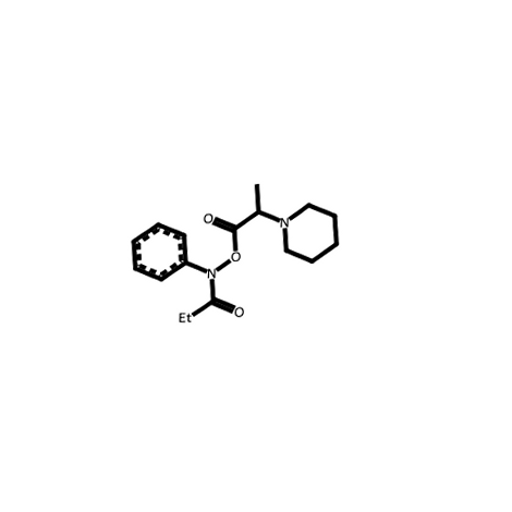 CCC(=O)N(OC(=O)C(C)N1CCCCC1)c1ccccc1